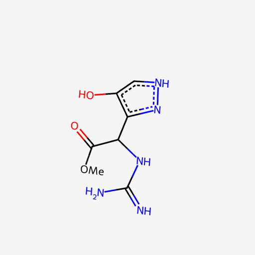 COC(=O)C(NC(=N)N)c1n[nH]cc1O